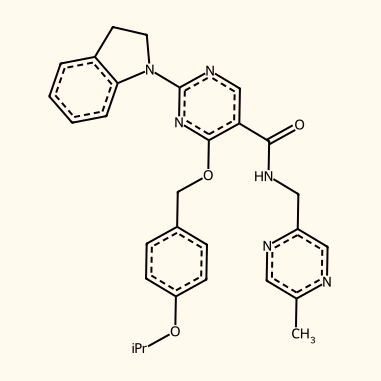 Cc1cnc(CNC(=O)c2cnc(N3CCc4ccccc43)nc2OCc2ccc(OC(C)C)cc2)cn1